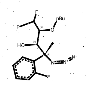 CCCCO[C@H](C(F)F)[C@H](O)[C@](C)(N=[N+]=[N-])c1ccccc1F